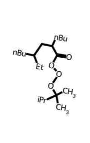 CCCCC(CC)CC(CCCC)C(=O)OOOC(C)(C)C(C)C